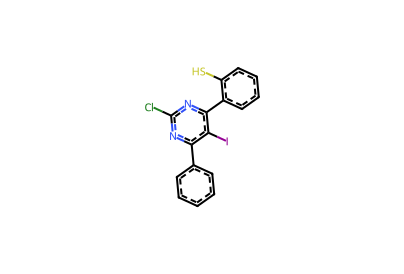 Sc1ccccc1-c1nc(Cl)nc(-c2ccccc2)c1I